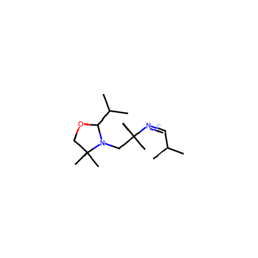 CC(C)/C=N\C(C)(C)CN1C(C(C)C)OCC1(C)C